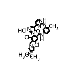 Cc1ccc(NC(=O)c2cc(Cl)c(CN3CC[C@H](N(C)C)C3)c(Cl)c2)cc1Nc1nccc(-c2cncnc2)n1.Cl